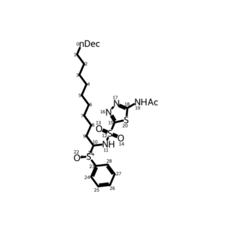 CCCCCCCCCCCCCCCCCCCC(NS(=O)(=O)c1nnc(NC(C)=O)s1)[S+]([O-])c1ccccc1